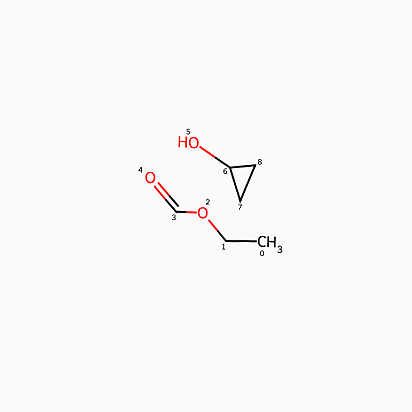 CCOC=O.OC1CC1